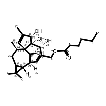 CCCCCC(=O)OCC1=C[C@@H]2C(O)[C@]3(C=C(C)[C@H](O)[C@@]3(O)[C@@H]1O)[C@H](C)CC1[C@H]2C1(C)C